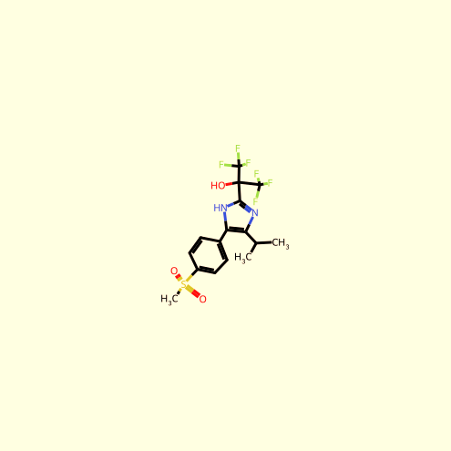 CC(C)c1nc(C(O)(C(F)(F)F)C(F)(F)F)[nH]c1-c1ccc(S(C)(=O)=O)cc1